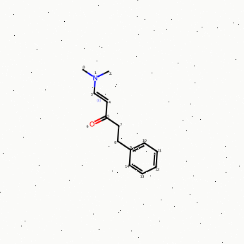 CN(C)/C=C/C(=O)CCc1ccccc1